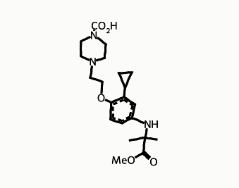 COC(=O)C(C)(C)Nc1ccc(OCCN2CCN(C(=O)O)CC2)c(C2CC2)c1